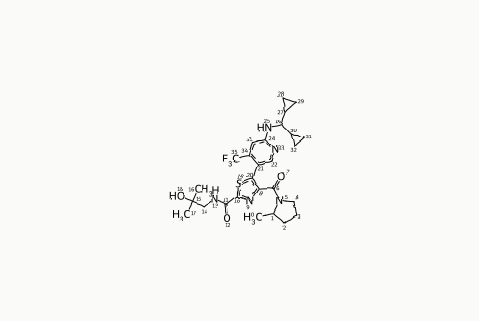 CC1CCCN1C(=O)c1nc(C(=O)NCC(C)(C)O)sc1-c1cnc(NC(C2CC2)C2CC2)cc1C(F)(F)F